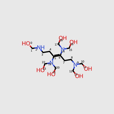 OCNCCC(=C(CCN(CO)CO)N(CO)CO)N(CO)CO